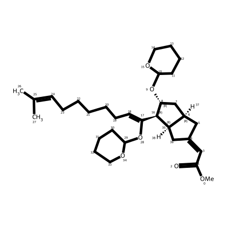 COC(=O)C=C1C[C@@H]2C[C@@H](OC3CCCCO3)[C@H](C(=CCCCCCC=C(C)C)OC3CCCCO3)[C@@H]2C1